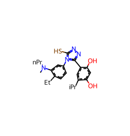 CCCN(C)c1cc(-n2c(S)nnc2-c2cc(C(C)C)c(O)cc2O)ccc1CC